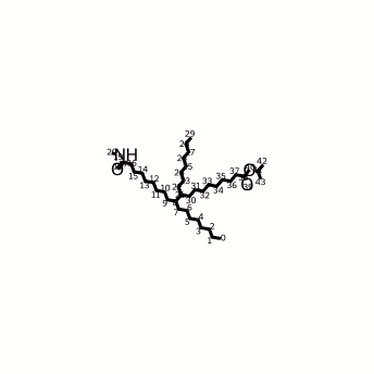 CCCCCCCCC(CCCCCCCCC(=O)NC)C(CCCCCCCC)CCCCCCCCC(=O)OC(C)C